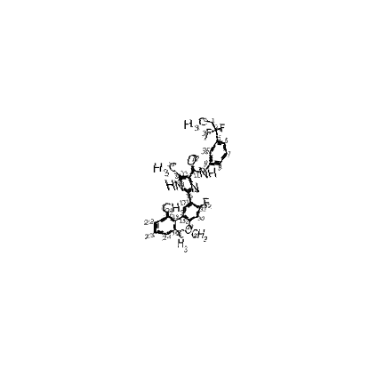 CCC(F)(F)c1cccc(NC(=O)c2nc(-c3cc(-c4c(C)cccc4C)c(OC)cc3F)[nH]c2C)c1